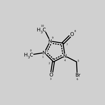 Cn1c(=O)n(CBr)c(=O)n1C